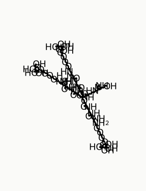 N=N/C(=C\NCCCCCC(=O)NC(COCCC(=O)NCCCNC(=O)CC/C(N)=C/NCCOCCOCCOCCO[C@H]1OC(CO)[C@@H](O)C(O)C1O)(COCCC(=O)NCCCNC(=O)CC/C(N)=C/NCCOCCOCCOCCO[C@H]1OC(CO)[C@@H](O)C(O)C1O)COCCC(=O)NCCCNC(=O)CC/C(N)=C/NCCOCCOCCOCCO[C@H]1OC(CO)[C@@H](O)C(O)C1O)CCCCO